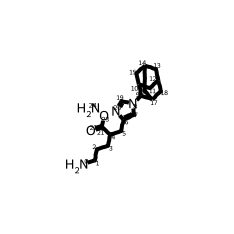 NCCCC(Cc1cn(C2C3CC4CC(C3)CC2C4)cn1)C(=O)ON